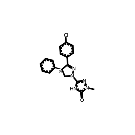 Cn1nc(N2C[C@@H](c3ccccc3)C(c3ccc(Cl)cc3)=N2)[nH]c1=O